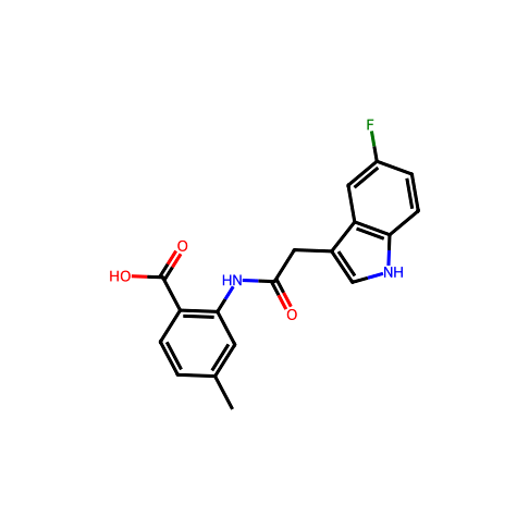 Cc1ccc(C(=O)O)c(NC(=O)Cc2c[nH]c3ccc(F)cc23)c1